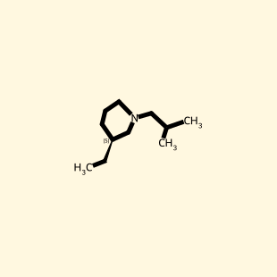 CC[C@H]1CCCN(CC(C)C)C1